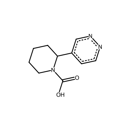 O=C(O)N1CCCCC1c1ccnnc1